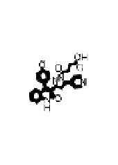 O=C(O)CCC(=O)N1N=C(c2c(-c3ccc(Cl)cc3)c3ccccc3[nH]c2=O)CC1c1ccncc1